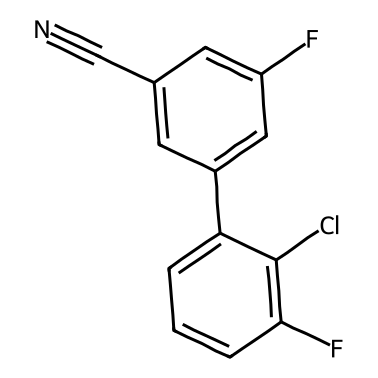 N#Cc1cc(F)cc(-c2cccc(F)c2Cl)c1